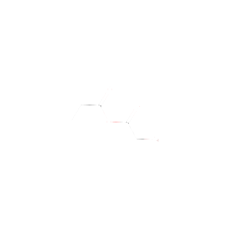 [CH2]CC(=O)OC(=O)CBr